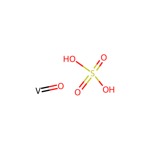 O=S(=O)(O)O.[O]=[V]